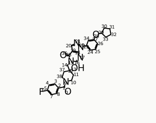 O=C(c1ccc(F)cc1)N1CCC(O)(Cn2cnc3c(cnn3-c3cccc(OC4CCCC4)c3)c2=O)CC1